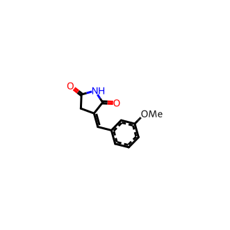 COc1cccc(C=C2CC(=O)NC2=O)c1